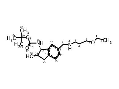 CCOCCCNCc1ccc2c(c1)[C@@H](NC(=O)OC(C)(C)C)[C@H](O)C2